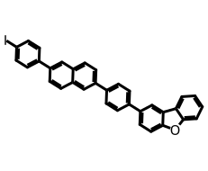 Ic1ccc(-c2ccc3cc(-c4ccc(-c5ccc6oc7ccccc7c6c5)cc4)ccc3c2)cc1